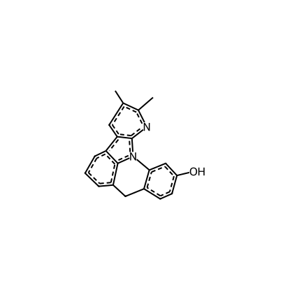 Cc1cc2c3cccc4c3n(c2nc1C)-c1cc(O)ccc1C4